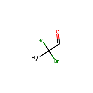 CC(Br)(Br)[C]=O